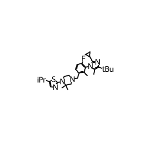 Cc1c(CN2CCN(c3ncc(C(C)C)s3)C(C)(C)C2)ccc(F)c1-n1c(C2CC2)nc(C(C)(C)C)c1C